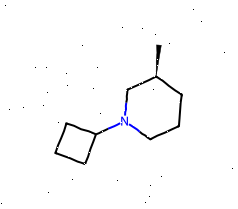 C[C@H]1CCCN(C2CCC2)C1